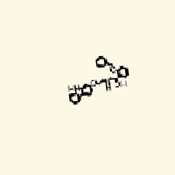 OC(CNCCOc1ccc2c(c1)[nH]c1ccccc12)c1ccccc1OCc1ccccc1